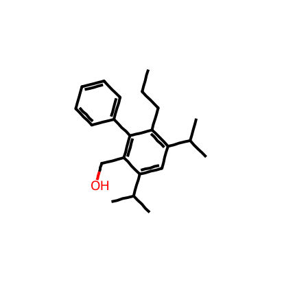 CCCc1c(C(C)C)cc(C(C)C)c(CO)c1-c1ccccc1